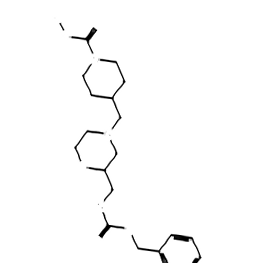 CC(C)(C)OC(=O)N1CCC(CN2CCOC(CNC(=O)OCc3ccccc3)C2)CC1